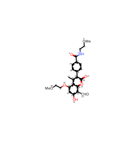 COCCNC(=O)c1ccc(-c2c(C)c3c(OCCOC)cc(O)c(C=O)c3oc2=O)cc1